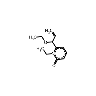 C=CC(OCC)c1cccc(=O)n1CC